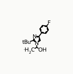 [CH2]C(O)n1cc(-c2ccc(F)cc2)nc1C(C)(C)C